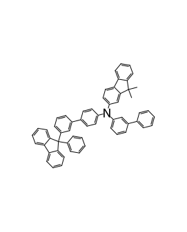 CC1(C)c2ccccc2-c2ccc(N(c3ccc(-c4cccc(C5(c6ccccc6)c6ccccc6-c6ccccc65)c4)cc3)c3cccc(-c4ccccc4)c3)cc21